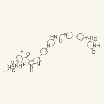 CCN(C)S(=O)(=O)Nc1ccc(F)c(C(=O)c2c[nH]c3ncc(-c4ccc(N5CCC(NC(=O)CN6CCC(c7ccc(NC8CCC(=O)NC8=O)cc7)CC6)CC5)cc4)cc23)c1F